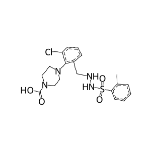 Cc1ccccc1S(=O)(=O)NNCc1cccc(Cl)c1N1CCN(C(=O)O)CC1